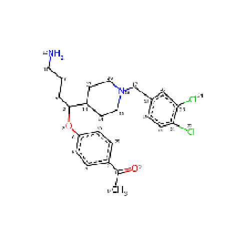 CC(=O)c1ccc(OC(CCCN)C2CCN(Cc3ccc(Cl)c(Cl)c3)CC2)cc1